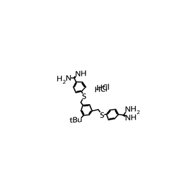 CC(C)(C)c1cc(CSc2ccc(C(=N)N)cc2)cc(CSc2ccc(C(=N)N)cc2)c1.Cl.Cl